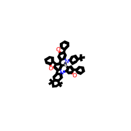 CC(C)(C)c1ccc(N2B3c4cc5c(cc4-n4c6cc7c(cc6c6c8oc9ccccc9c8c(c3c64)-c3cc4oc6ccccc6c4cc32)C(C)(C)CCC7(C)C)oc2ccccc25)cc1